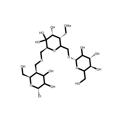 CC[C@@H]1O[C@@H](CO)[C@@H](COC[C@@H]2OC(CO[C@H]3OC(CO)[C@H](O)[C@@H](O)C3O)[C@@H](COC)[C@@H](O)C2(O)O)C(O)C1O